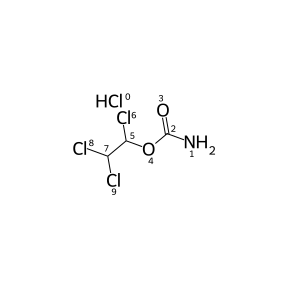 Cl.NC(=O)OC(Cl)C(Cl)Cl